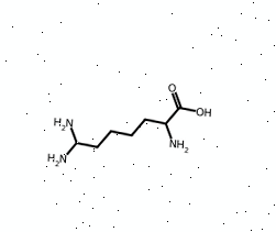 NC(N)CCCCC(N)C(=O)O